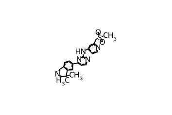 CC1(C)CN=Cc2ccc(-c3ccnc(Nc4ccnc(CS(C)(=O)=O)c4)n3)cc21